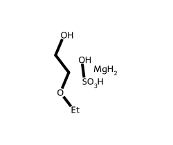 CCOCCO.O=S(=O)(O)O.[MgH2]